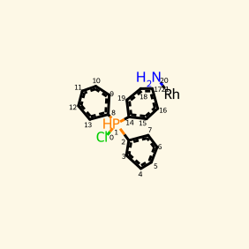 Cl[PH](c1ccccc1)(c1ccccc1)c1ccccc1.[NH2][Rh]